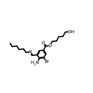 CCCCCCN=Cc1cc(C(=O)OCCCCCO)cc(Br)c1N